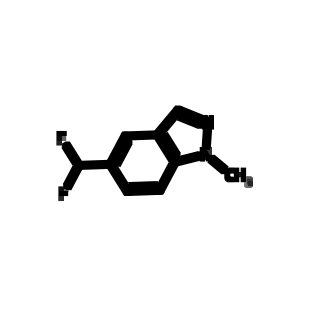 Cn1ncc2cc(C(F)F)ccc21